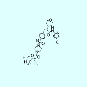 CC(C)(C)OC(=O)N1CCN(S(=O)(=O)c2ccc(CC(C(=O)Nc3ncc(Cl)s3)C3CCOCC3)cc2)CC1